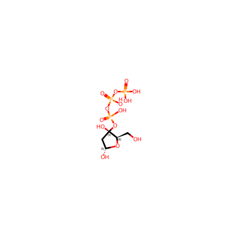 O=P(O)(O)OP(=O)(O)OP(=O)(O)O[C@@]1(O)C[C@@H](O)O[C@@H]1CO